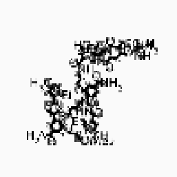 CCn1nc(C)cc1C(=O)Nc1nc2cc(C(N)=O)cc(OCCCNC(=O)C(CC(=O)O)NC(=O)C(CC(=O)O)NC(=O)C(CCCNC(=N)N)NC(=O)CCC(=O)O)c2n1C/C=C/Cn1c2nc(-c3cc(C)nn3CC)ncc2c2cc(C(N)=O)cc(OCCCOC)c21